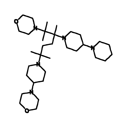 CC(C)(CCC(C)(N1CCC(N2CCCCC2)CC1)C(C)(C)N1CCOCC1)N1CCC(N2CCOCC2)CC1